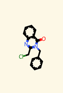 O=c1c2ccccc2nc(CCl)n1Cc1ccccc1